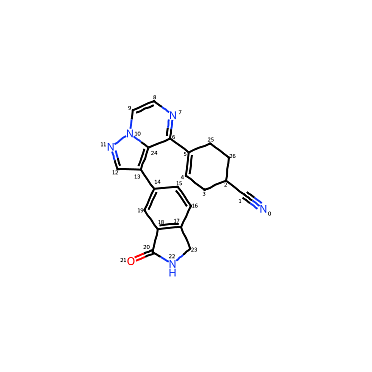 N#CC1CC=C(c2nccn3ncc(-c4ccc5c(c4)C(=O)NC5)c23)CC1